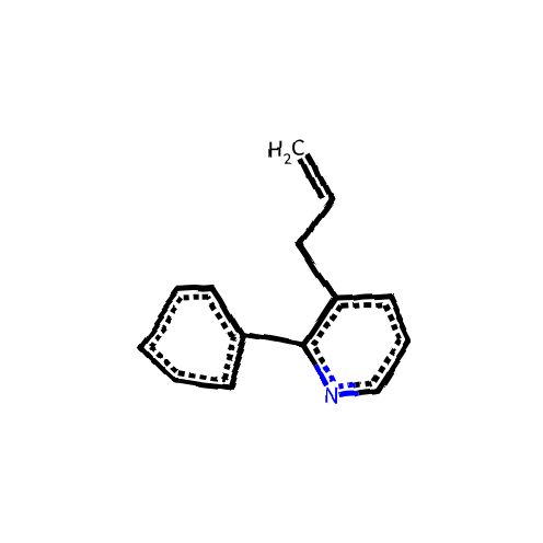 C=CCc1cccnc1-c1ccccc1